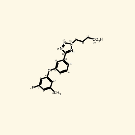 Cc1cc(F)cc(Oc2cccc(-c3nnn(CCCC(=O)O)n3)c2)c1